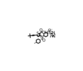 Cn1ncnc1[S+]([O-])[C@H]1CC[C@H](N(c2cc(C#CC(C)(C)C)sc2C(=O)O)C(=O)[C@H]2CC[C@H](C)CC2)CC1